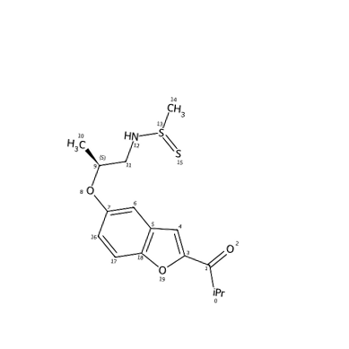 CC(C)C(=O)c1cc2cc(O[C@@H](C)CNS(C)=S)ccc2o1